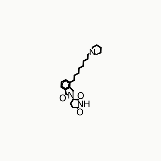 O=C1CCC(N2Cc3c(CCCCCCCCN4CCCCC4)cccc3C2=O)C(=O)N1